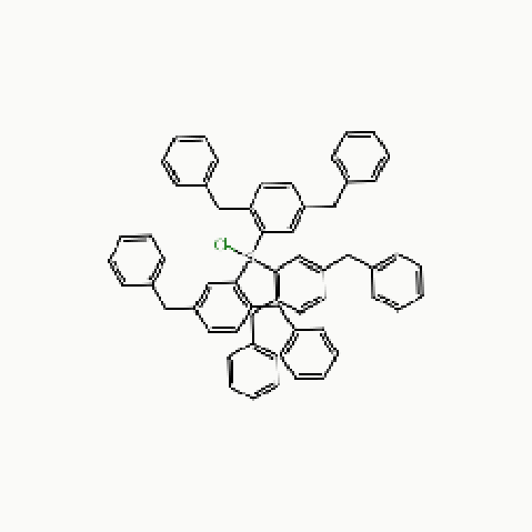 Cl[Si](c1cc(Cc2ccccc2)ccc1Cc1ccccc1)(c1cc(Cc2ccccc2)ccc1Cc1ccccc1)c1cc(Cc2ccccc2)ccc1Cc1ccccc1